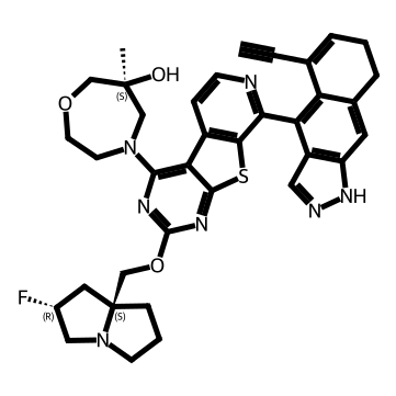 C#CC1=CCCc2cc3[nH]ncc3c(-c3nccc4c3sc3nc(OC[C@@]56CCCN5C[C@H](F)C6)nc(N5CCOC[C@@](C)(O)C5)c34)c21